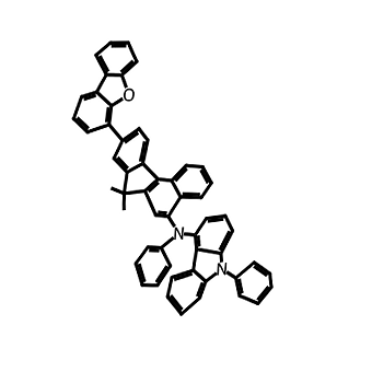 CC1(C)c2cc(-c3cccc4c3oc3ccccc34)ccc2-c2c1cc(N(c1ccccc1)c1cccc3c1c1ccccc1n3-c1ccccc1)c1ccccc21